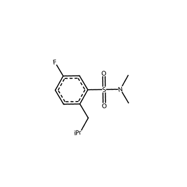 CC(C)Cc1ccc(F)cc1S(=O)(=O)N(C)C